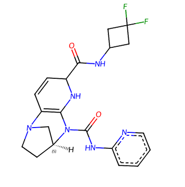 O=C(NC1CC(F)(F)C1)C1C=CC2=C(N1)N(C(=O)Nc1ccccn1)[C@H]1CCN2C1